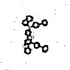 c1ccc(-c2ccc(-c3c4oc5cc(N(c6ccc(-c7ccccc7)cc6)c6cccc7ccccc67)ccc5c4cc4oc5ccccc5c34)cc2)cc1